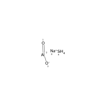 [Na+].[O]=[Al][O-].[SiH4]